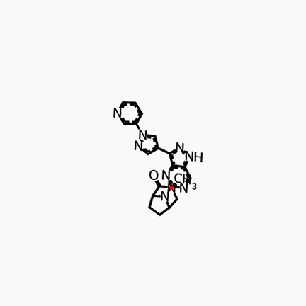 CN1CC2CCC(C1=O)N2c1ncc2[nH]nc(-c3cnn(-c4cccnc4)c3)c2n1